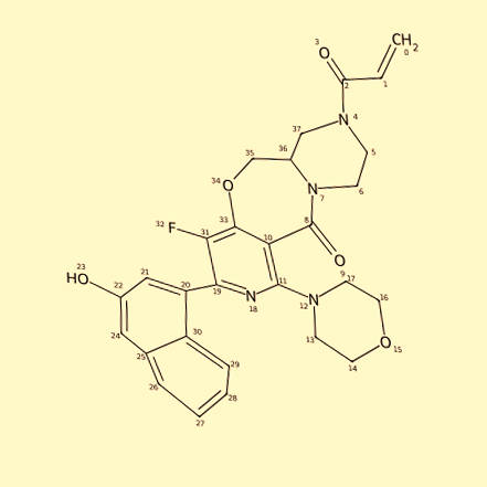 C=CC(=O)N1CCN2C(=O)c3c(N4CCOCC4)nc(-c4cc(O)cc5ccccc45)c(F)c3OCC2C1